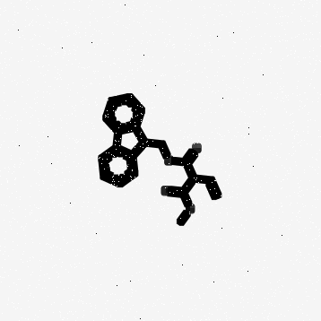 C=CC(C(=O)OC)C(=O)OCC1c2ccccc2-c2ccccc21